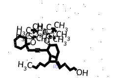 CCCCC1/C(=C/CCCO)C2CCC(O[Si](C)(C)C(C)(C)C)C(C#CCC3(O[Si](C)(C)C(C)(C)C)CCCCC3)C12